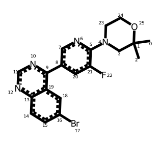 CC1(C)CN(c2ncc(-c3ncnc4ccc(Br)cc34)cc2F)CCO1